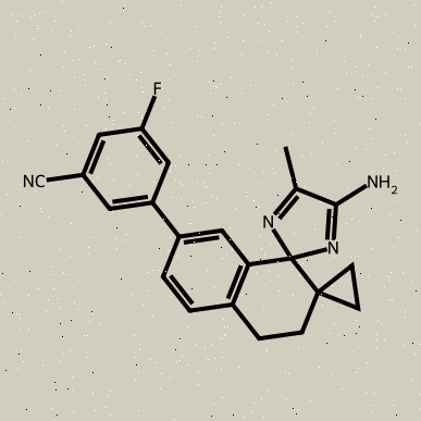 CC1=NC2(N=C1N)c1cc(-c3cc(F)cc(C#N)c3)ccc1CCC21CC1